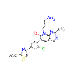 Cc1ncc2cc(-c3ccc(-c4csc(C)n4)cc3Cl)c(=O)n(CCCN)c2n1